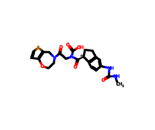 CNC(=O)Nc1ccc2c(c1)CC[C@@H]2C(=O)N(CC(=O)N1CCOc2ccsc2C1)C(=O)O